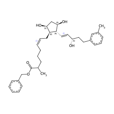 Cc1cccc(CC[C@H](O)/C=C/[C@@H]2[C@@H](C/C=C\CCCC(C)C(=O)OCc3ccccc3)[C@@H](O)C[C@H]2O)c1